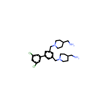 NCC1CCN(Cc2cc(CN3CCC(CN)CC3)cc(-c3cc(Cl)cc(Cl)c3)c2)CC1